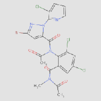 CC(=O)N(C)C(=O)c1cc(Cl)cc(Cl)c1N(C(C)=O)C(=O)c1cc(Br)nn1-c1ncccc1Cl